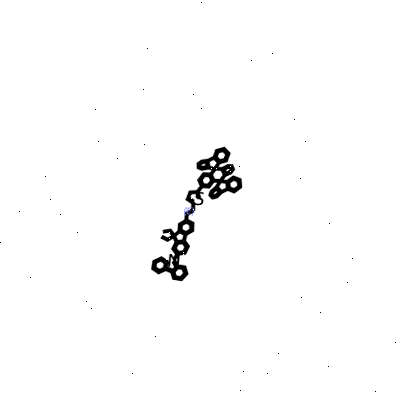 CCC1(CC)c2cc(/C=C/C3=CCC(c4ccc5c(c4)C4(c6ccccc6-c6ccccc64)c4ccccc4C54c5ccccc5-c5ccccc54)S3)ccc2-c2ccc(-n3c4ccccc4c4ccccc43)cc21